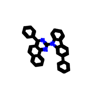 c1ccc(-c2ccc3c4ccccc4n(-c4nc(-c5ccccc5)c5ccc6ccccc6c5n4)c3c2)cc1